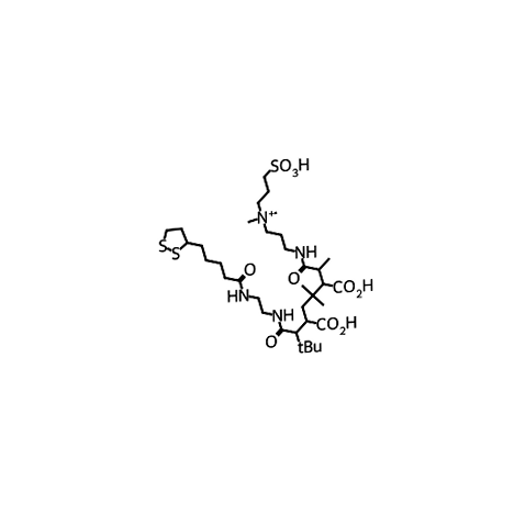 CC(C(=O)NCCC[N+](C)(C)CCCS(=O)(=O)O)C(C(=O)O)C(C)(C)CC(C(=O)O)C(C(=O)NCCNC(=O)CCCCC1CCSS1)C(C)(C)C